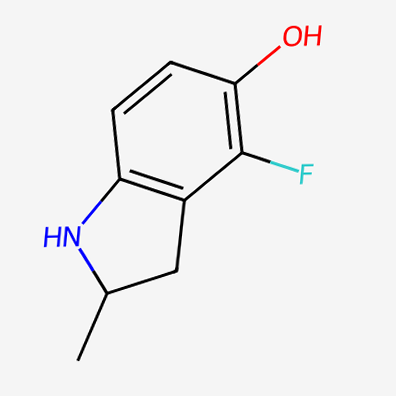 CC1Cc2c(ccc(O)c2F)N1